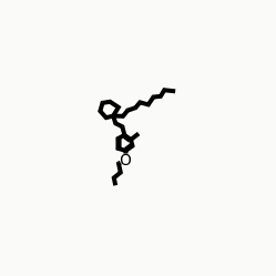 CCCCCCCCCC1(CCc2ccc(OCCCC)cc2C)CCCCC1